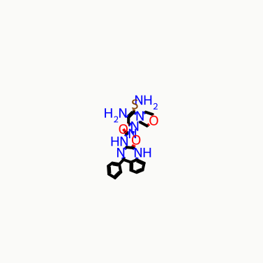 NS/C(=C(\N)c1nnc(N[C@H]2N=C(c3ccccc3)c3ccccc3NC2=O)o1)N1CCOCC1